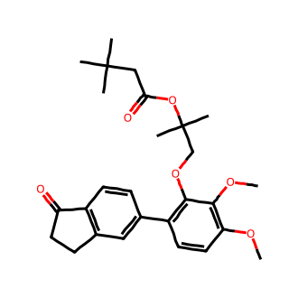 COc1ccc(-c2ccc3c(c2)CCC3=O)c(OCC(C)(C)OC(=O)CC(C)(C)C)c1OC